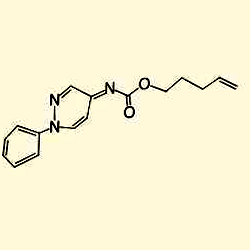 C=CCCCOC(=O)N=c1ccn(-c2ccccc2)nc1